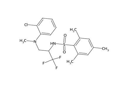 Cc1cc(C)c(S(=O)(=O)NC(CN(C)c2ccccc2Cl)C(F)(F)F)c(C)c1